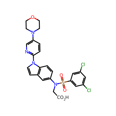 O=C(O)CN(c1ccc2c(ccn2-c2ccc(N3CCOCC3)cn2)c1)S(=O)(=O)c1cc(Cl)cc(Cl)c1